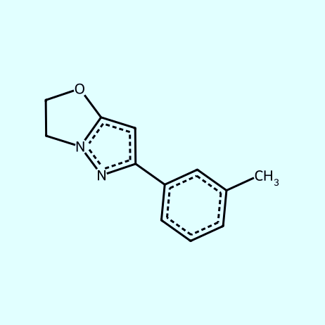 Cc1cccc(-c2cc3n(n2)CCO3)c1